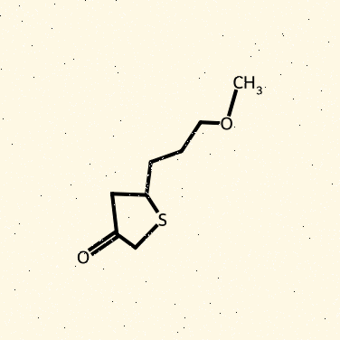 COCCCC1CC(=O)CS1